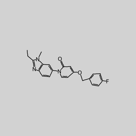 CCc1nc2ccc(-n3ccc(OCc4ccc(F)cc4)cc3=O)cc2n1C